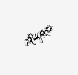 Cc1cc(NC(=O)CN2CCCC3=C2C(=O)N(C)C3=O)ccc1-c1ccccc1